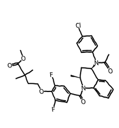 COC(=O)C(C)(C)CCOc1c(F)cc(C(=O)N2c3ccccc3[C@H](N(C(C)=O)c3ccc(Cl)cc3)C[C@@H]2C)cc1F